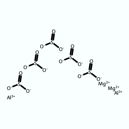 O=S([O-])[O-].O=S([O-])[O-].O=S([O-])[O-].O=S([O-])[O-].O=S([O-])[O-].[Al+3].[Al+3].[Mg+2].[Mg+2]